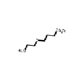 CCOC(=O)CCCOCCOCC(C)C